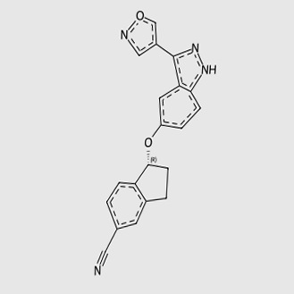 N#Cc1ccc2c(c1)CC[C@H]2Oc1ccc2[nH]nc(-c3cnoc3)c2c1